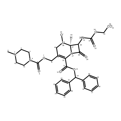 CN1CCN(C(=O)OCC2=C(C(=O)OC(c3ccccc3)c3ccccc3)N3C(=O)C(NC(=O)OCC(Cl)(Cl)Cl)[C@@H]3[S+]([O-])C2)CC1